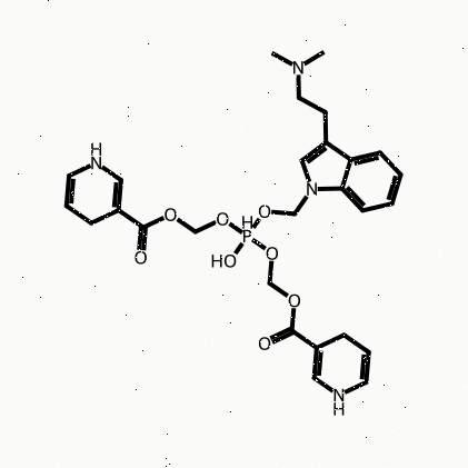 CN(C)CCc1cn(CO[PH](O)(OCOC(=O)C2=CNC=CC2)OCOC(=O)C2=CNC=CC2)c2ccccc12